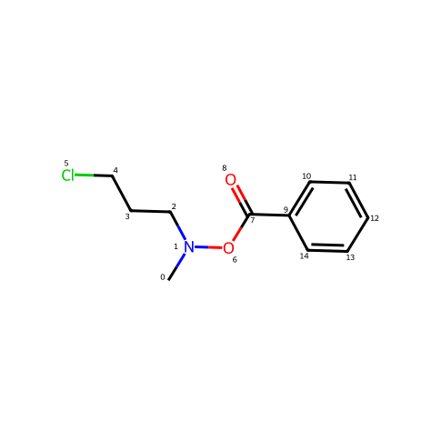 CN(CCCCl)OC(=O)c1ccccc1